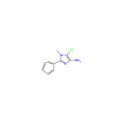 Cn1c(-c2ccccc2)nc(N)c1Cl